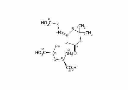 CC1(C)CC(=O)C/C(=N/CC(=O)O)C1.N[C@H](C[C@H](F)C(=O)O)C(=O)O